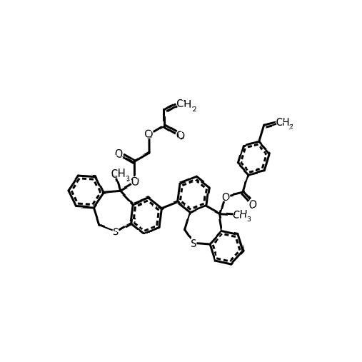 C=CC(=O)OCC(=O)OC1(C)c2ccccc2CSc2ccc(-c3cccc4c3CSc3ccccc3C4(C)OC(=O)c3ccc(C=C)cc3)cc21